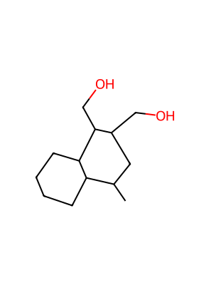 CC1CC(CO)C(CO)C2CCCCC12